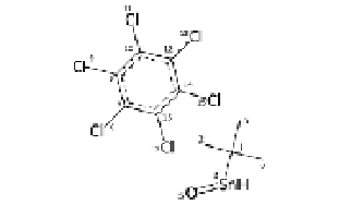 C[C](C)(C)[SnH]=[O].Clc1c(Cl)c(Cl)c(Cl)c(Cl)c1Cl